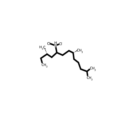 CC[C@H](C)CC(CC[C@H](C)CCCC(C)C)[SiH](Cl)Cl